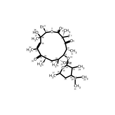 CC[C@H]1OC(=O)[C@@](C)(F)C(=O)[C@H](C)[C@@H](OC2OC(C)CC(N(C)C)C2C)[C@](C)(OC)C[C@@H](C)C(=O)/C(C)=C/[C@]1(C)O